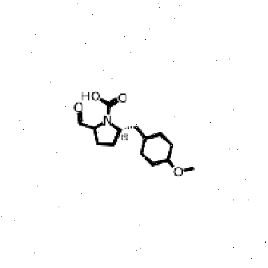 COC1CCC(C[C@@H]2CCC(C=O)N2C(=O)O)CC1